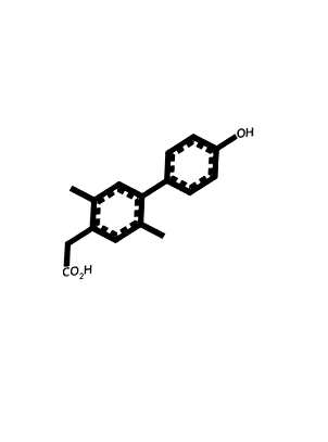 Cc1cc(-c2ccc(O)cc2)c(C)cc1CC(=O)O